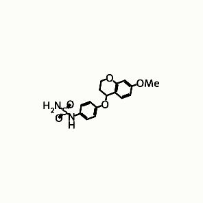 COc1ccc2c(c1)OCCC2Oc1ccc(NS(N)(=O)=O)cc1